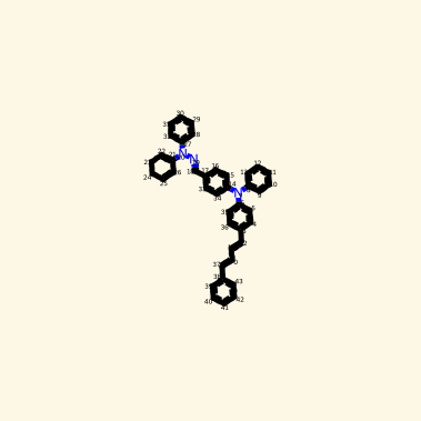 C(C=Cc1ccc(N(c2ccccc2)c2ccc(/C=N/N(C3=CCCC=C3)c3ccccc3)cc2)cc1)=Cc1ccccc1